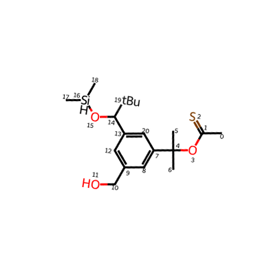 CC(=S)OC(C)(C)c1cc(CO)cc(C(O[SiH](C)C)C(C)(C)C)c1